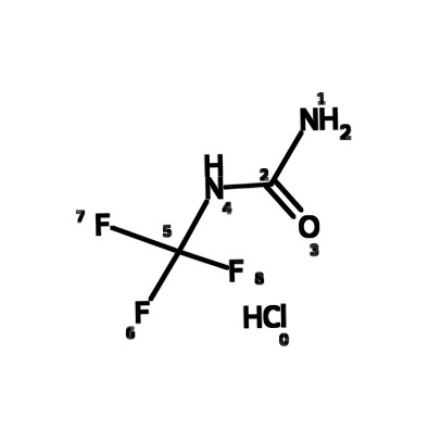 Cl.NC(=O)NC(F)(F)F